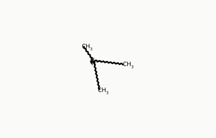 CCCCCCCCCCCCCCCCCc1n(CCCCCCCCC)cc[n+]1CCCCCCCCCCCCCCC